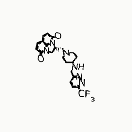 O=c1ccc2ccc(=O)n3c2n1C[C@H]3CN1CCC(NCc2ccc(C(F)(F)F)nn2)CC1